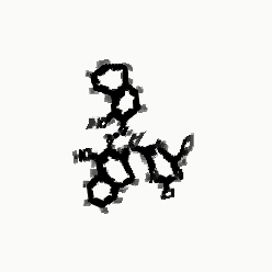 Oc1c(N=Nc2c(Nc3nc(Cl)nc(Cl)n3)cc3ccccc3c2O)ccc2ccccc12